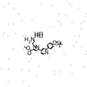 CCOC(=O)c1cc(-c2ccnc(-c3ccc(O[Si](C)(C)C(C)(C)C)cc3)c2)nn1CCN.Cl.Cl